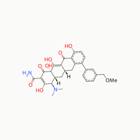 COCc1cccc(-c2ccc(O)c3c2C[C@@H]2C[C@@H]4[C@@H](N(C)C)C(O)=C(C(N)=O)C(=O)[C@@]4(O)C(O)=C2C3=O)c1